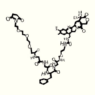 CC[C@@]1(O)C(=O)OCc2c1cc1n(c2=O)Cc2c-1nc1cc(F)c(C)cc1c2CNC(=O)NCCOCNC(=O)CNC(=O)C(Cc1ccccc1)NC(=O)CNC(=O)CNC(=O)CCOCCOCCOCCN1C(=O)C=CC1=O